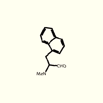 CNC(C=O)Cc1cccc2ccccc12